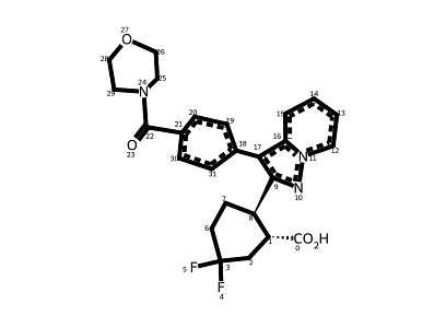 O=C(O)[C@@H]1CC(F)(F)CC[C@H]1c1nn2ccccc2c1-c1ccc(C(=O)N2CCOCC2)cc1